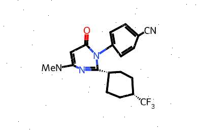 CNc1cc(=O)n(-c2ccc(C#N)cc2)c([C@H]2CC[C@@H](C(F)(F)F)CC2)n1